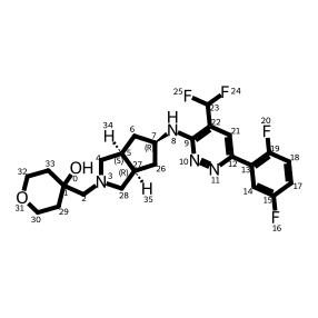 OC1(CN2C[C@H]3C[C@@H](Nc4nnc(-c5cc(F)ccc5F)cc4C(F)F)C[C@H]3C2)CCOCC1